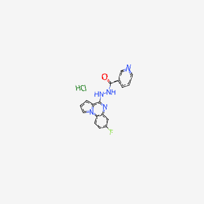 Cl.O=C(NNc1nc2cc(F)ccc2n2cccc12)c1cccnc1